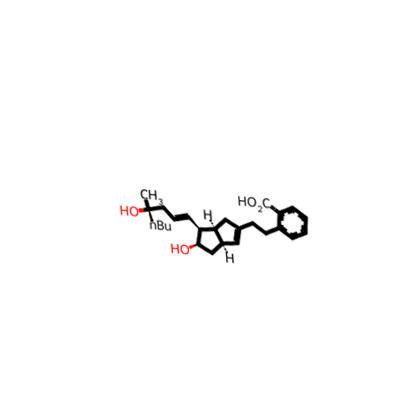 CCCC[C@](C)(O)C/C=C/[C@H]1[C@H]2CC(CCc3ccccc3C(=O)O)=C[C@H]2C[C@H]1O